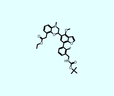 CCOC(=O)Cc1cccc2c1OC(c1cc(-c3cccc(CNC(=O)OC(C)(C)C)c3F)c3occc3c1OC)CN2C